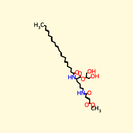 CCC=CCC=CCC=CCC=CCC=CCCCC(=O)NC(CCCCNC(=O)C=CC(=O)OC)C(=O)OC(CO)CO